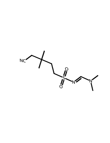 CN(C)C=NS(=O)(=O)CCC(C)(C)CC#N